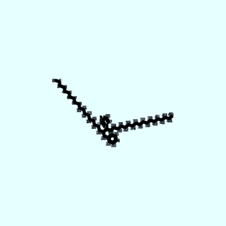 CCCCCCCCCCCCCCCCCCCC(Cc1ccccc1)C(CCCCCCCCCCCCCCCCCC)n1ccnc1